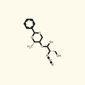 C[C@@H]1OC(c2ccccc2)OCC1OC(S)[C@H](CO)N=[N+]=[N-]